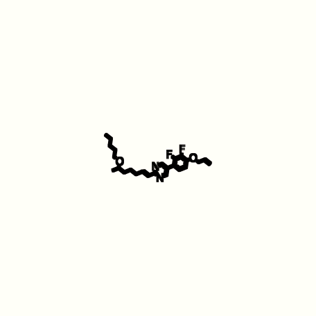 C=CCOc1ccc(-c2cnc(C=CCCCC(C)OCCCCC)nc2)c(F)c1F